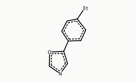 CCc1ccc(-c2cnco2)cc1